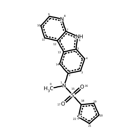 CN(c1ccc2[nH]c3ncccc3c2c1)S(=O)(=O)c1cccs1